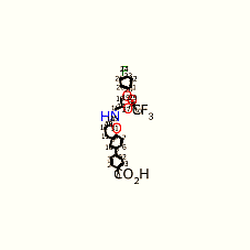 O=C(O)c1ccc(-c2ccc3c(c2)CC[C@H](CNCC(COc2ccc(F)cc2)OC(=O)C(F)(F)F)O3)cc1